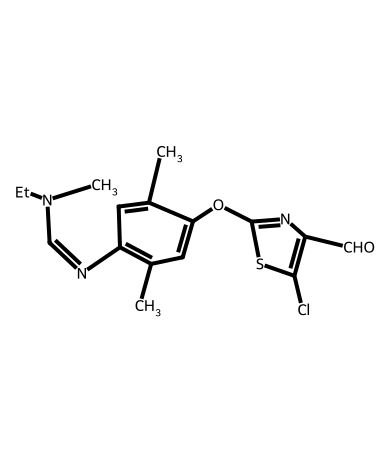 CCN(C)/C=N\c1cc(C)c(Oc2nc(C=O)c(Cl)s2)cc1C